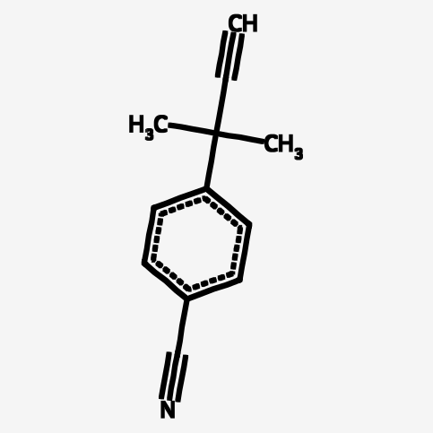 C#CC(C)(C)c1ccc(C#N)cc1